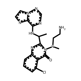 CC(Nc1ncnn2ccnc12)c1nc2cccc(Cl)c2c(=O)n1N(C)CCN